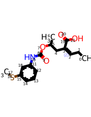 CC/C=C(/CC(C)OC(=O)Nc1cccc(SC)c1)C(=O)O